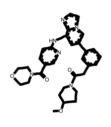 COC1CCN(C(=O)Cc2cccc(-c3cc(Nc4ccc(C(=O)N5CCOCC5)cn4)c4nccn4c3)c2)CC1